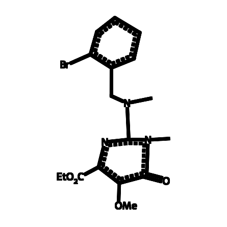 CCOC(=O)c1nc(N(C)Cc2ccccc2Br)n(C)c(=O)c1OC